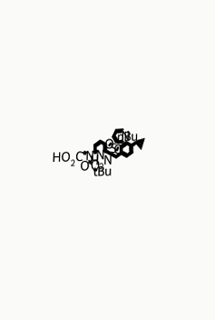 CCCCC1(c2ccc(CC(N)(c3cccc(N(CC(=O)O)C(=O)OC(C)(C)C)n3)S(=O)(=O)c3cccnc3)cc2)CC1